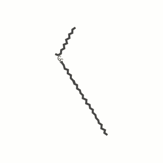 CCCCCCCCCCCCCCCCCCCCCC=CCCCCCCCCCC(C)CCCCCCCCCCC